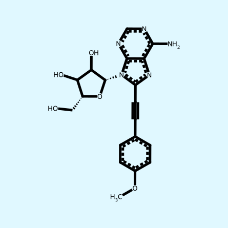 COc1ccc(C#Cc2nc3c(N)ncnc3n2[C@@H]2O[C@H](CO)C(O)C2O)cc1